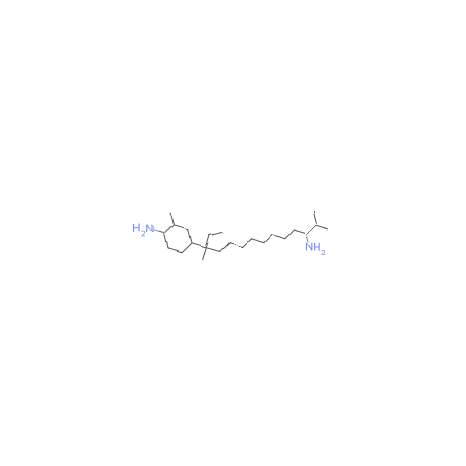 CCC(C)(CCCCCCCCC(N)C(C)C)C1CCC(N)C(C)C1